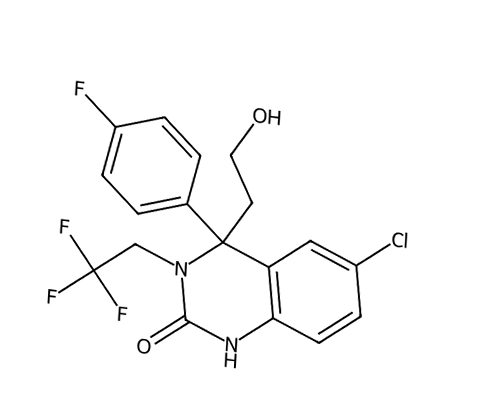 O=C1Nc2ccc(Cl)cc2C(CCO)(c2ccc(F)cc2)N1CC(F)(F)F